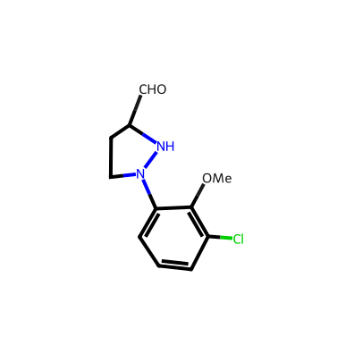 COc1c(Cl)cccc1N1CCC(C=O)N1